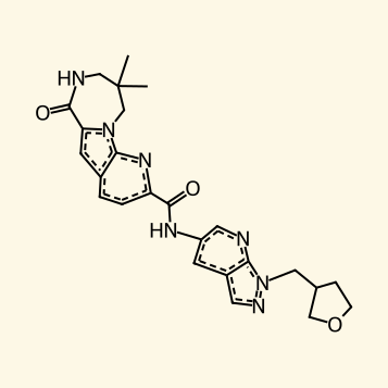 CC1(C)CNC(=O)c2cc3ccc(C(=O)Nc4cnc5c(cnn5CC5CCOC5)c4)nc3n2C1